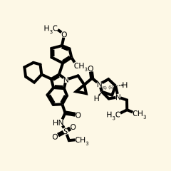 CCS(=O)(=O)NC(=O)c1ccc2c(C3CCCCC3)c(-c3ccc(OC)cc3C)n(CC3(C(=O)N4C[C@@H]5C[C@H]4CN5CC(C)C)CC3)c2c1